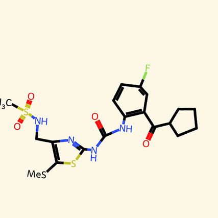 CSc1sc(NC(=O)Nc2ccc(F)cc2C(=O)C2CCCC2)nc1CNS(C)(=O)=O